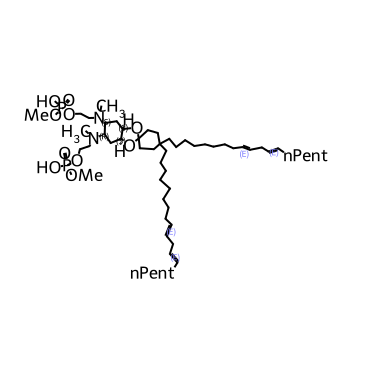 CCCCC/C=C/C/C=C/CCCCCCCCC1(CCCCCCCC/C=C/C/C=C/CCCCC)CCC2(CC1)O[C@H]1C[C@@H](N(C)CCOP(=O)(O)OC)[C@@H](N(C)CCOP(=O)(O)OC)C[C@@H]1O2